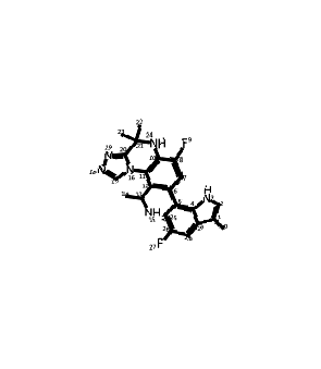 Cc1c[nH]c2c(-c3cc(F)c4c(c3C(C)N)-n3cnnc3C(C)(C)N4)cc(F)cc12